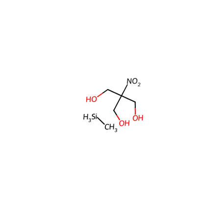 C[SiH3].O=[N+]([O-])C(CO)(CO)CO